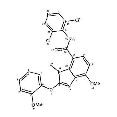 COc1ccccc1Oc1nc2c(OC)ccc(C(=O)Nc3c(Cl)cncc3Cl)c2n1C